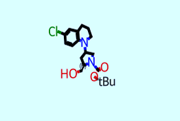 CC(C)(C)OC(=O)N1CC(N2CCCc3cc(Cl)ccc32)C[C@@H]1CO